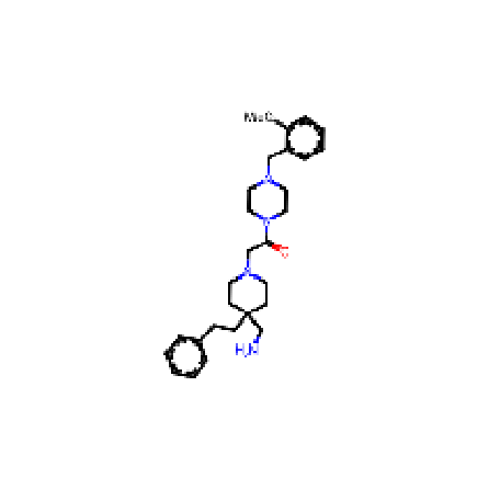 COc1ccccc1CN1CCN(C(=O)CN2CCC(CN)(CCc3ccccc3)CC2)CC1